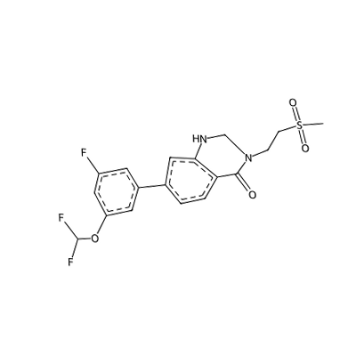 CS(=O)(=O)CCN1CNc2cc(-c3cc(F)cc(OC(F)F)c3)ccc2C1=O